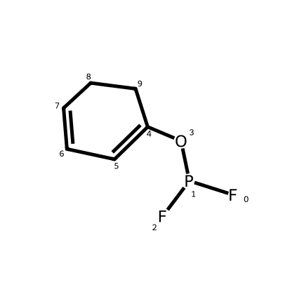 FP(F)OC1=CC=CCC1